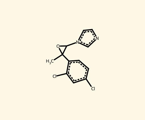 CC1(c2ccc(Cl)cc2Cl)OC1n1ccnc1